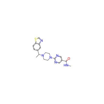 CNC(=O)c1cnc(N2CCN(C(C)c3ccc4scnc4c3)CC2)nc1